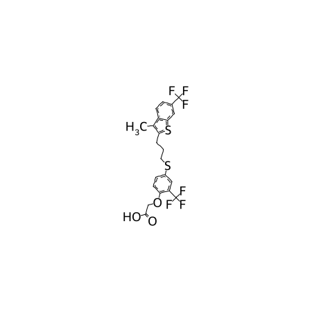 Cc1c(CCCSc2ccc(OCC(=O)O)c(C(F)(F)F)c2)sc2cc(C(F)(F)F)ccc12